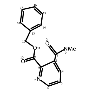 CNC(=O)c1cccnc1C(=O)OCc1ccccc1